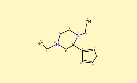 N#CCN1CCN(CC#N)C(C2=CCC=C2)C1